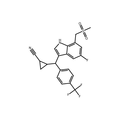 CS(=O)(=O)Cc1cc(F)cc2c(C(c3ccc(C(F)(F)F)cc3)C3CC3C#N)c[nH]c12